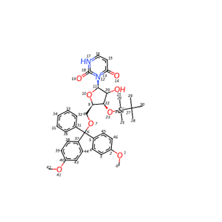 COc1ccc(C(OC[C@H]2O[C@@H](n3c(=O)cc[nH]c3=O)C(O)[C@H]2O[Si](C)(C)C(C)(C)C)(c2ccccc2)c2ccc(OC)cc2)cc1